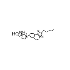 CCCCCc1nc2c(s1)-c1ccc([C@H]3CC[C@](N)(CO)C3)cc1CC2